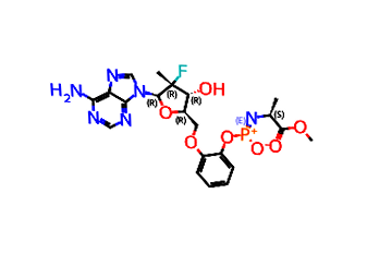 COC(=O)[C@H](C)/N=[P+](\[O-])Oc1ccccc1OC[C@H]1O[C@@H](n2cnc3c(N)ncnc32)[C@](C)(F)[C@@H]1O